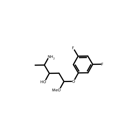 COC(CC(O)C(C)N)Oc1cc(F)cc(F)c1